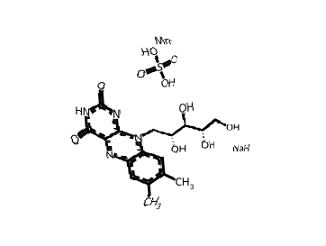 Cc1cc2nc3c(=O)[nH]c(=O)nc-3n(C[C@@H](O)[C@@H](O)[C@@H](O)CO)c2cc1C.O=S(=O)(O)O.[Mn].[NaH]